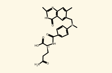 Cc1nc2cc(C)c(CN(C)c3ccc(C(=O)N[C@@H](CCC(N)=O)C(=O)O)cc3)cc2c(=O)[nH]1